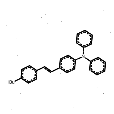 CCC(C)c1ccc(C=Cc2ccc(N(c3ccccc3)c3ccccc3)cc2)cc1